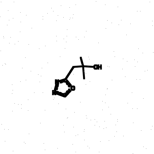 CC(C)(O)Cc1nnco1